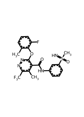 Cc1cccc(F)c1Oc1nnc(C(F)(F)F)c(C)c1C(=O)Nc1cccc(S(C)(=N)=O)c1